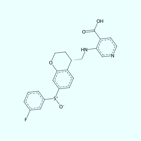 O=C(O)c1ccncc1NC[C@H]1CCOc2cc([S+]([O-])c3cccc(F)c3)ccc21